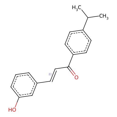 CC(C)c1ccc(C(=O)/C=C/c2cccc(O)c2)cc1